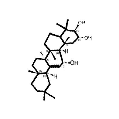 CC1(C)CC[C@]2(C)CC[C@]3(C)C(=C[C@@H](O)[C@@H]4[C@@]5(C)C[C@@H](O)[C@H](O)C(C)(C)C5CC[C@]43C)[C@H]2C1